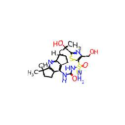 CC(C)(O)c1nc(CO)c([SH](N)(=O)NC(=O)Nc2c3c(nc4c2CCC4(C)C)CCC3)s1